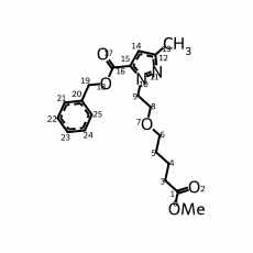 COC(=O)CCCCOCCn1nc(C)cc1C(=O)OCc1ccccc1